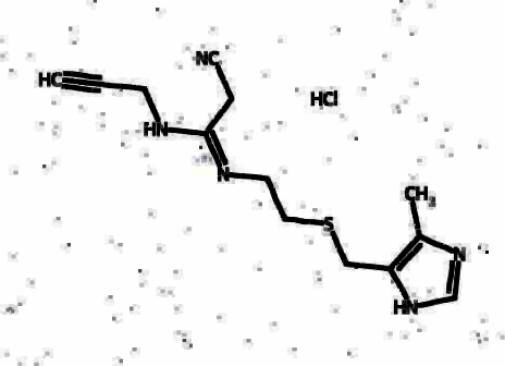 C#CCN/C(CC#N)=N/CCSCc1[nH]cnc1C.Cl